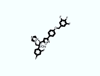 C[C@@H](c1cc(-c2ccc(OCc3cc(F)c(F)c(F)c3)cc2)no1)[C@](O)(Cn1cncn1)c1ccc(F)cc1F